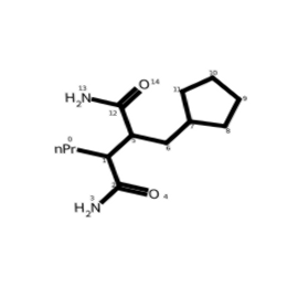 CCCC(C(N)=O)C(CC1CCCC1)C(N)=O